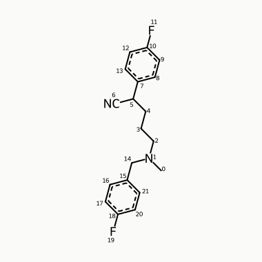 CN(CCCC(C#N)c1ccc(F)cc1)Cc1ccc(F)cc1